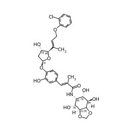 CC(=Cc1ccc(O[C@H]2C[C@H](O)[C@@H](C(C)=CCOc3ccccc3Cl)O2)c(O)c1)C(=O)N[C@@H]1[C@H](O)[C@@H](O)[C@H]2OCO[C@H]2[C@@H]1O